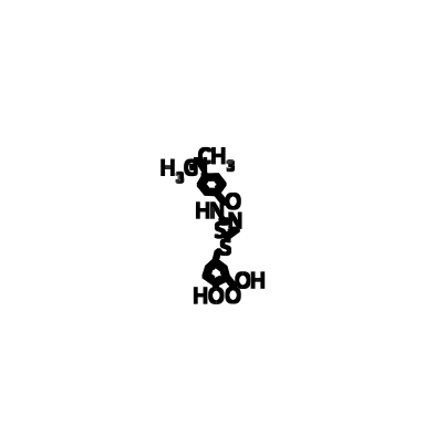 CN(C)c1ccc(C(=O)Nc2ncc(SCc3ccc(O)c(C(=O)O)c3)s2)cc1